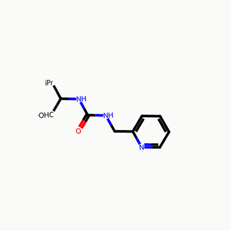 CC(C)C([C]=O)NC(=O)NCc1ccccn1